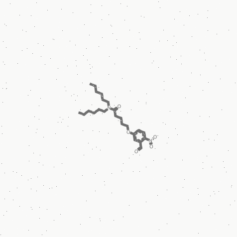 CCCCCCN(CCCCCC)C(=O)CCCCOc1ccc([N+](=O)[O-])c(C=O)c1